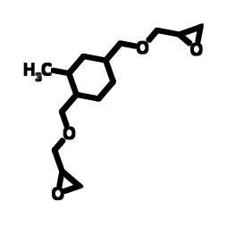 CC1CC(COCC2CO2)CCC1COCC1CO1